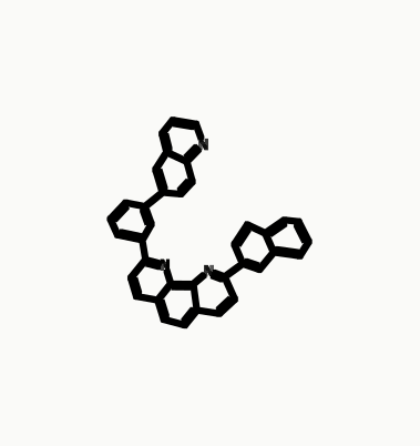 c1cc(-c2ccc3ncccc3c2)cc(-c2ccc3ccc4ccc(-c5ccc6ccccc6c5)nc4c3n2)c1